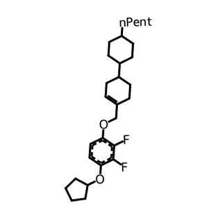 CCCCCC1CCC(C2CC=C(COc3ccc(OC4CCCC4)c(F)c3F)CC2)CC1